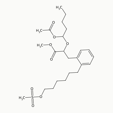 CCCCC(OC(C)=O)OC(Cc1ccccc1CCCCCCOS(C)(=O)=O)C(=O)OC